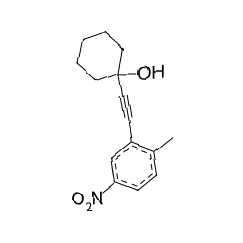 Cc1ccc([N+](=O)[O-])cc1C#CC1(O)CCCCC1